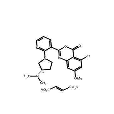 CCc1cc(OC)cc2nc(-c3cccnc3N3CC[C@H](N(C)C)C3)oc(=O)c12.O=C(O)C=CC(=O)O